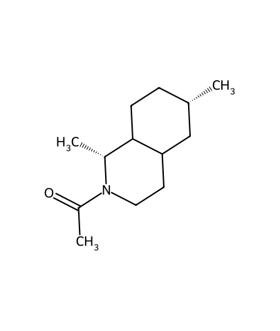 CC(=O)N1CCC2C[C@@H](C)CCC2[C@H]1C